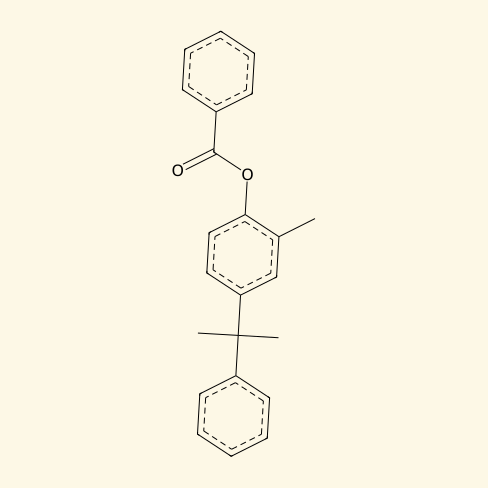 Cc1cc(C(C)(C)c2ccccc2)ccc1OC(=O)c1ccccc1